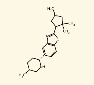 C[C@H]1CC[C@H](c2ccc3sc(C4CN(C)CC4(C)C)nc3c2)NC1